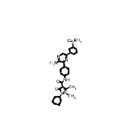 Cc1c(C(=O)Nc2ccc(-c3nc(-c4cccc([S+](C)[O-])c4)cnc3N)cc2)c(=O)n(-c2ccccc2)n1C